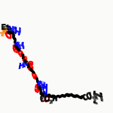 CCN[C@@H](CCCCNC(=O)COCCOCCNC(=O)COCCOCCNC(=O)CC[C@H](NC(=O)CCCCCCCCCCCCCCCC(=O)O)C(=O)O)C(=O)P